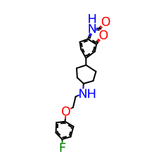 O=c1[nH]c2ccc(C3CCC(NCCOc4ccc(F)cc4)CC3)cc2o1